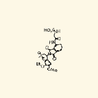 CCOc1cc(C(CS(C)(=O)=O)N2C(=O)c3cccc(NC(=O)CNC(=O)O)c3C2=O)ccc1OC